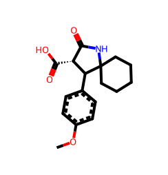 COc1ccc(C2[C@H](C(=O)O)C(=O)NC23CCCCC3)cc1